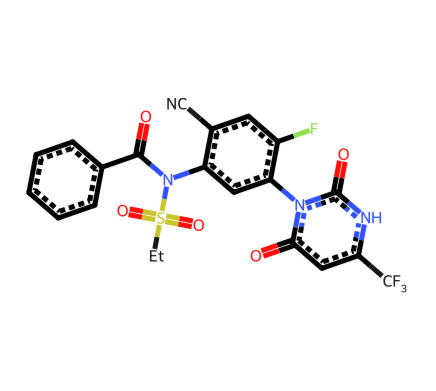 CCS(=O)(=O)N(C(=O)c1ccccc1)c1cc(-n2c(=O)cc(C(F)(F)F)[nH]c2=O)c(F)cc1C#N